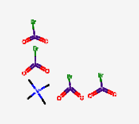 C[N+](C)(C)C.O=I(=O)Br.O=I(=O)Br.O=I(=O)Br.O=I(=O)Br